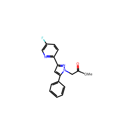 COC(=O)Cn1nc(-c2ccc(F)cn2)cc1-c1ccccc1